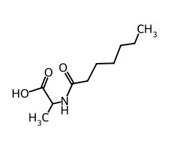 CCCCCCC(=O)NC(C)C(=O)O